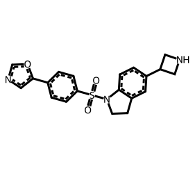 O=S(=O)(c1ccc(-c2cnco2)cc1)N1CCc2cc(C3CNC3)ccc21